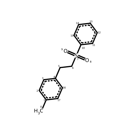 Cc1ccc(CCS(=O)(=O)c2ccccc2)cc1